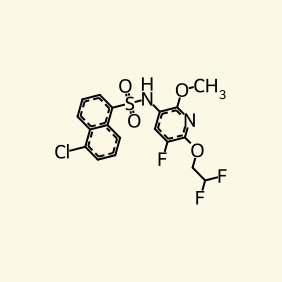 COc1nc(OCC(F)F)c(F)cc1NS(=O)(=O)c1cccc2c(Cl)cccc12